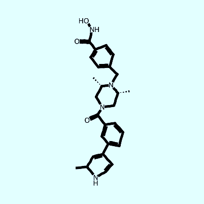 CC1C=C(c2cccc(C(=O)N3C[C@@H](C)N(Cc4ccc(C(=O)NO)cc4)[C@@H](C)C3)c2)C=CN1